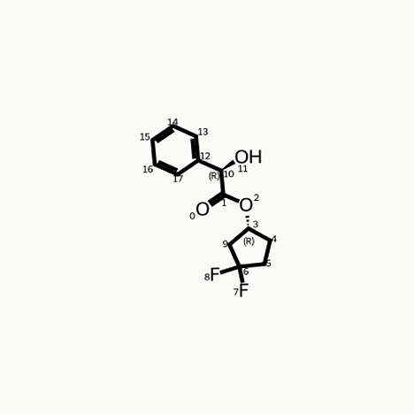 O=C(O[C@@H]1CCC(F)(F)C1)[C@H](O)c1ccccc1